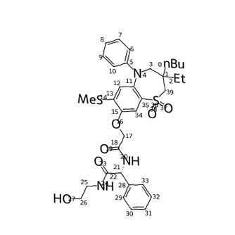 CCCCC1(CC)CN(c2ccccc2)c2cc(SC)c(OCC(=O)N[C@@H](C(=O)NCCO)c3ccccc3)cc2S(=O)(=O)C1